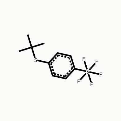 CC(C)(C)Sc1ccc(S(F)(F)(F)(F)F)cc1